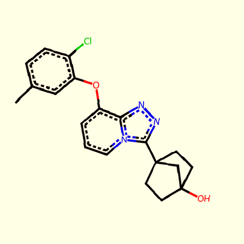 Cc1ccc(Cl)c(Oc2cccn3c(C45CCC(O)(CC4)C5)nnc23)c1